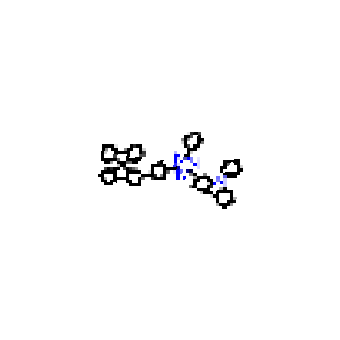 c1ccc(-c2nc(-c3ccc(-c4ccc5c(c4)C4(c6ccccc6-c6ccccc64)c4ccccc4-5)cc3)nc(-c3ccc4c5ccccc5n(-c5ccccc5)c4c3)n2)cc1